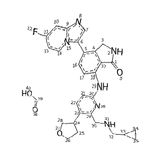 O=C1NCc2c(-c3cnc4cc(F)ccn34)ccc(Nc3ccc(C4CCOC4)c(CNCC4CC4)n3)c21.O=CO